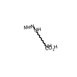 CNCCNCCCCCCCCCCCNC(=O)O